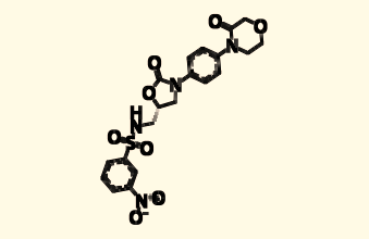 O=C1COCCN1c1ccc(N2C[C@H](CNS(=O)(=O)c3cccc([N+](=O)[O-])c3)OC2=O)cc1